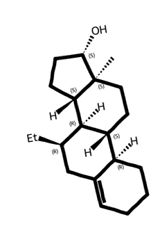 CC[C@@H]1CC2=CCCC[C@@H]2[C@H]2CC[C@]3(C)[C@@H](O)CC[C@H]3[C@H]12